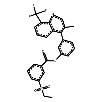 CCS(=O)(=O)c1cccc(C(=O)Oc2cccc(-c3c(C)cnc4c(C(F)(F)F)cccc34)c2)c1